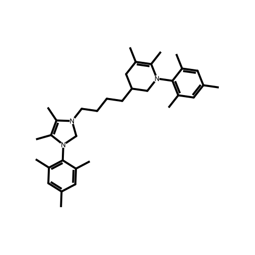 CC1=C(C)N(c2c(C)cc(C)cc2C)CC(CCCCN2CN(c3c(C)cc(C)cc3C)C(C)=C2C)C1